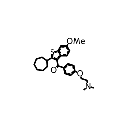 COc1ccc2c(C(=O)c3ccc(OCCN(C)C)cc3)c(C3CCCCCC3)sc2c1